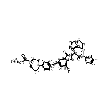 CC(C)(C)OC(=O)N1CCCN(c2ccc(-c3cc(F)c4c(c3)C(=O)N(C(C(=O)Nc3nccs3)c3ncn5c3CCC5)C4)cc2)CC1